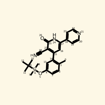 Cc1ccc(O[Si](C)(C)C(C)(C)C)cc1-c1cc(-c2ccncc2)[nH]c(=O)c1C#N